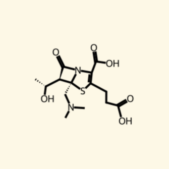 C[C@@H](O)[C@H]1C(=O)N2C(C(=O)O)=C(CCC(=O)O)S[C@@]12CN(C)C